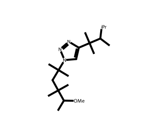 COC(C)C(C)(C)CC(C)(C)n1cc(C(C)(C)C(C)C(C)C)nn1